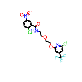 O=C(NCCOCCOc1cc(C(F)(F)F)cc(Cl)n1)c1cc([N+](=O)[O-])ccc1Cl